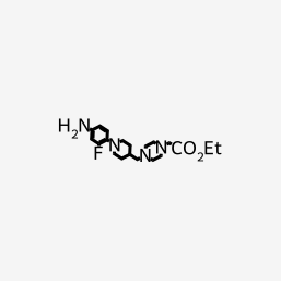 CCOC(=O)CN1CCN(CC2CCN(c3ccc(N)cc3F)CC2)CC1